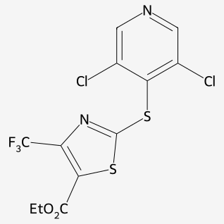 CCOC(=O)c1sc(Sc2c(Cl)cncc2Cl)nc1C(F)(F)F